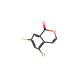 O=c1o[c]cc2c(Cl)cc(F)cc12